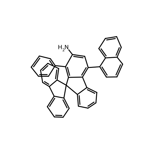 Nc1cc(-c2cccc3ccccc23)c2c(c1-c1ccccc1)C1(c3ccccc3-c3ccccc31)c1ccccc1-2